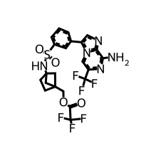 Nc1nc(C(F)(F)F)cn2c(-c3cccc(S(=O)(=O)NC45CCC(COC(=O)C(F)(F)F)(C4)C5)c3)cnc12